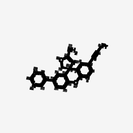 CC(C)C#Cc1cnc2c(c1)[C@]1(COC(N)=N1)c1cc(-c3cncnc3)ccc1O2